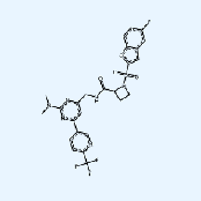 CN(C)c1nc(CNC(=O)C2CCN2S(=O)(=O)c2cc3cc(F)ccc3o2)cc(-c2ccc(C(F)(F)F)nc2)n1